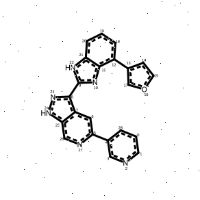 c1cncc(-c2cc3c(-c4nc5c(-c6ccoc6)cccc5[nH]4)n[nH]c3cn2)c1